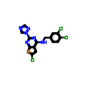 Clc1cc2c(NCc3ccc(Cl)c(Cl)c3)nc(-n3cncn3)nc2s1